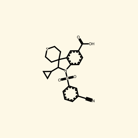 N#Cc1cccc(S(=O)(=O)N2c3ccc(C(=O)O)cc3C3(CCSCC3)C2C2CC2)c1